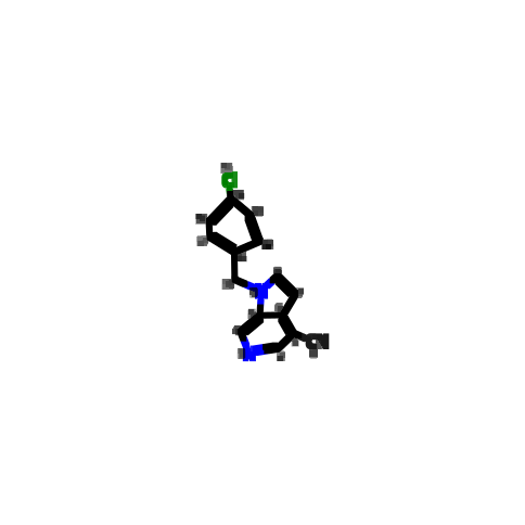 N#Cc1cncc2c1ccn2Cc1ccc(Cl)cc1